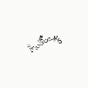 C=C(COC)C(=O)OCCOC1CCC(c2ccc(C3CCC(OCCOC(=O)C(=C)COC)CC3)c(OC(=O)C(=C)COC)c2)CC1